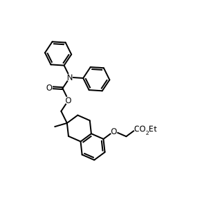 CCOC(=O)COc1cccc2c1CCC(C)(COC(=O)N(c1ccccc1)c1ccccc1)C2